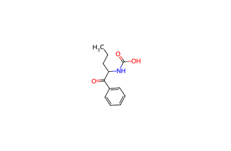 CCCC(NC(=O)O)C(=O)c1ccccc1